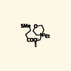 C=CC[N+]1(CC)CCOCC1.CSCCC(=O)[O-]